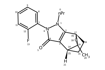 CCCn1c2c(c(=O)n1-c1ccccc1F)[C@H]1CC[C@@]23CC13C